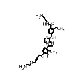 CCc1cc(Nc2nccn3c(-c4ccc(OCC#CCOCCN)c(F)c4C)cnc23)ccc1C(=O)NCCCN